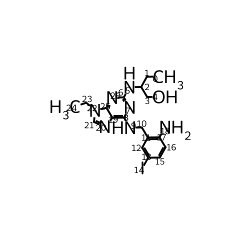 CCC(CO)Nc1nc(NCc2cc(I)ccc2N)c2ncn(CC)c2n1